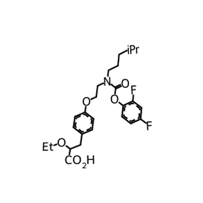 CCOC(Cc1ccc(OCCN(CCCC(C)C)C(=O)Oc2ccc(F)cc2F)cc1)C(=O)O